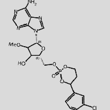 COC1C(O)[C@@H](COP2(=O)OCCC(c3cccc(Cl)c3)O2)O[C@H]1n1cnc2c(N)ncnc21